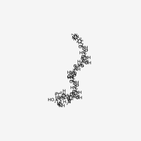 Cc1nnc(-c2ccc(CC(=O)NCC(=O)NCC(=O)N[C@@H](CO)C(=O)NCC(=O)NCC(=O)NCC(=O)N[C@@H](CO)C(=O)NCC(=O)NCC(=O)NCC(=O)N[C@@H](CO)C(=O)N[C@@H](CC(N)=O)C(=O)NCC(=O)N[C@@H](CC(C)C)C(=O)N[C@@H](Cc3c[nH]cn3)C(=O)O)cc2)nn1